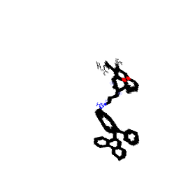 C=Cc1c(\C=C/C(=C\C=C\Nc2ccc(C3=C4C=CCCC4C4C=CC=CC4=C3)c(-c3ccccc3)c2)c2ccccc2)cccc1C(C)C